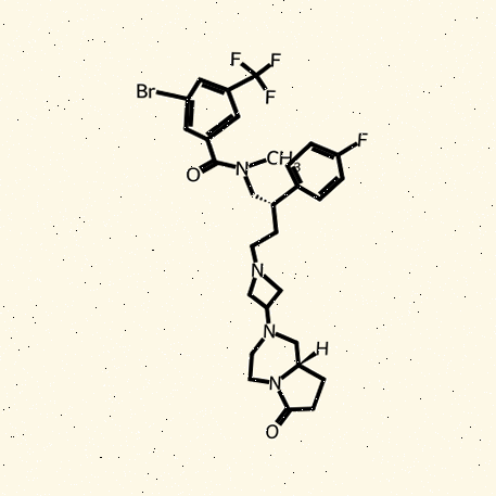 CN(C[C@@H](CCN1CC(N2CCN3C(=O)CC[C@H]3C2)C1)c1ccc(F)cc1)C(=O)c1cc(Br)cc(C(F)(F)F)c1